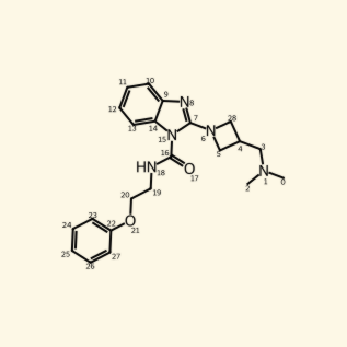 CN(C)CC1CN(c2nc3ccccc3n2C(=O)NCCOc2ccccc2)C1